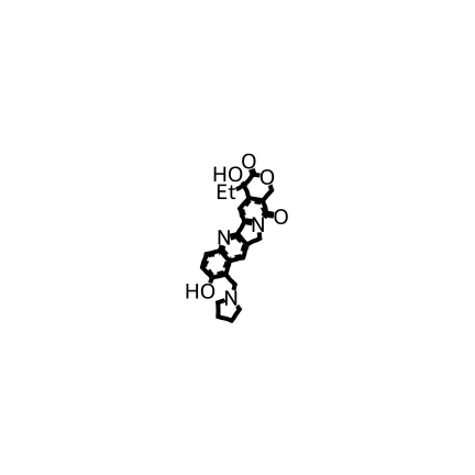 CCC1(O)C(=O)OCc2c1cc1n(c2=O)Cc2cc3c(CN4CCCC4)c(O)ccc3nc2-1